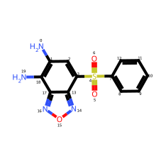 Nc1cc(S(=O)(=O)c2ccccc2)c2nonc2c1N